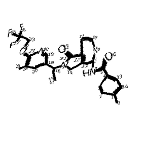 Cc1ccc(C(=O)Nc2nccc3c2CN(C(C)c2cnc(OCC(F)(F)F)c(C)c2)C3=O)cc1